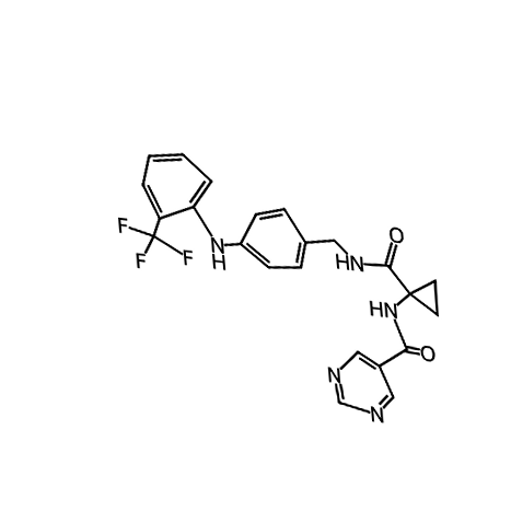 O=C(NC1(C(=O)NCc2ccc(Nc3ccccc3C(F)(F)F)cc2)CC1)c1cncnc1